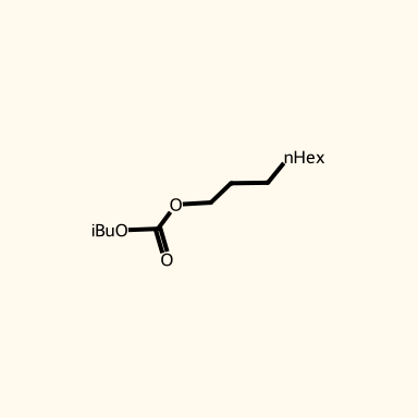 CCCCCCCCCOC(=O)OCC(C)C